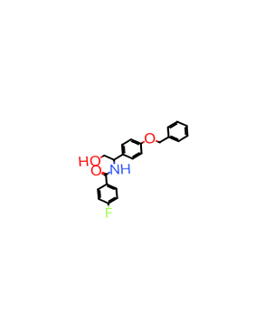 O=C(NC(CO)c1ccc(OCc2ccccc2)cc1)c1ccc(F)cc1